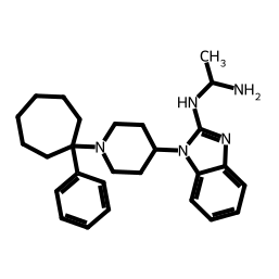 CC(N)Nc1nc2ccccc2n1C1CCN(C2(c3ccccc3)CCCCCC2)CC1